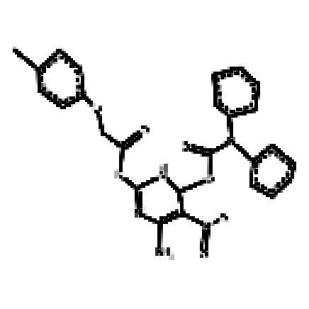 Cc1ccc(OCC(=O)NC2=NC(N)=C([N+](=O)[O-])C(OC(=O)N(c3ccccc3)c3ccccc3)N2)cc1